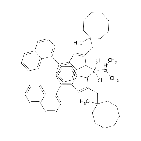 C[SiH](C)[Zr]([Cl])([Cl])([CH]1C(CC2(C)CCCCCCC2)=Cc2c(-c3cccc4ccccc34)cccc21)[CH]1C(CC2(C)CCCCCCC2)=Cc2c(-c3cccc4ccccc34)cccc21